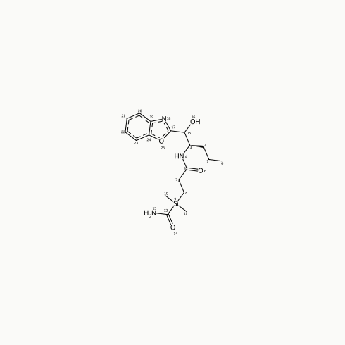 CCC[C@@H](NC(=O)[CH]C[Si](C)(C)C(N)=O)C(O)c1nc2ccccc2o1